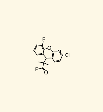 CC(C)(C(=O)F)C1c2ccc(Cl)nc2Oc2c(F)cccc21